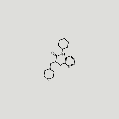 O=C(NC1CCCCC1)C(CN1CCOCC1)Sc1ccccn1